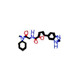 CN(C(=O)CNC(=O)c1ccc(-c2ccc3nc[nH]c3c2)o1)C1CCCCC1